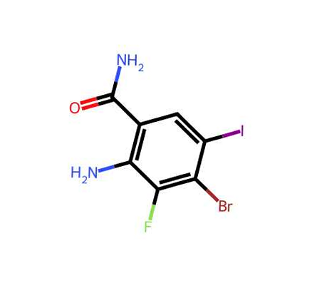 NC(=O)c1cc(I)c(Br)c(F)c1N